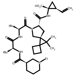 C=C[C@@H]1C[C@]1(NC(=O)[C@@H]1C[C@@]2(CN1C(=O)[C@@H](NC(=O)[C@@H](NC(=O)[C@@H]1CCCN(CC)C1)C(C)(C)C)C(C)(C)C)C(C)(C)C21CCC1)C(=O)O